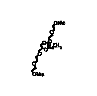 C=CC(COCCOCCOC)OC(C=C)COCCOCCOC